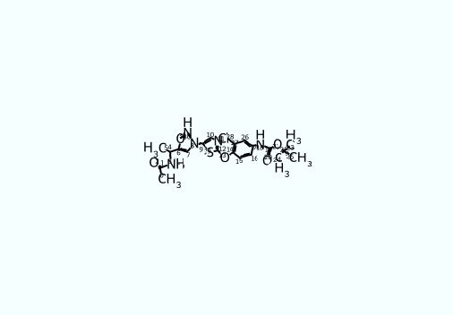 CC(=O)NC(C)C1=CN(c2cnc(Oc3ccc(NC(=O)OC(C)(C)C)cc3Cl)s2)NO1